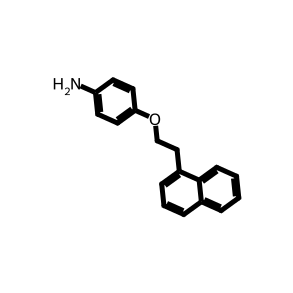 Nc1ccc(OCCc2cccc3ccccc23)cc1